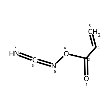 C=CC(=O)ON=C=N